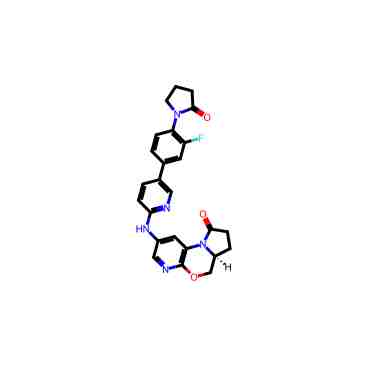 O=C1CCCN1c1ccc(-c2ccc(Nc3cnc4c(c3)N3C(=O)CC[C@H]3CO4)nc2)cc1F